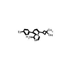 CCc1ccc(C2=C3C(N)=NC=CN3C(C3CC(C)(O)C3)=C=C2)cc1